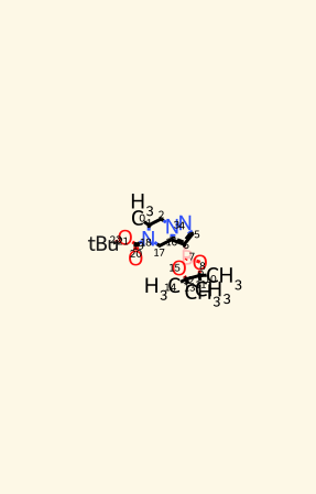 CC1Cn2ncc(B3OC(C)(C)C(C)(C)O3)c2CN1C(=O)OC(C)(C)C